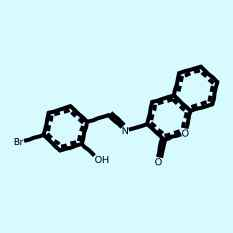 O=c1oc2ccccc2cc1N=Cc1ccc(Br)cc1O